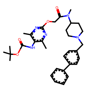 Cc1nc(OCC(=O)N(C)C2CCN(Cc3ccc(-c4ccccc4)cc3)CC2)nc(C)c1NC(=O)OC(C)(C)C